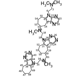 CN(C)CCn1c2c(c3nccnc31)CC(N(C)CCn1c3c(c4cncnc41)CC(CN(C)CCn1c4c(c5ncncc51)CCCCC4)CCC3)CCC2